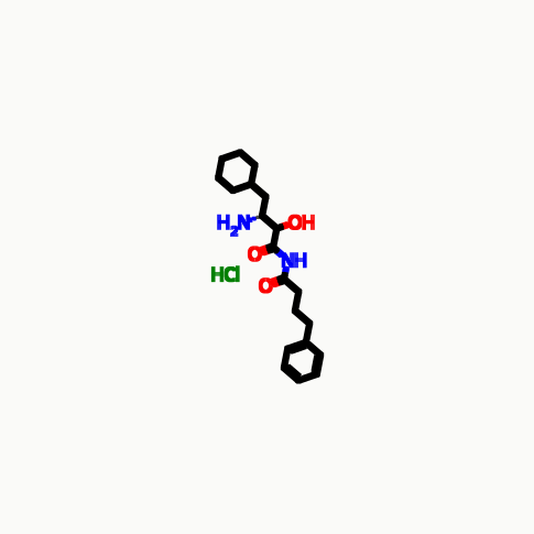 Cl.N[C@H](CC1CCCCC1)C(O)C(=O)NC(=O)CCCc1ccccc1